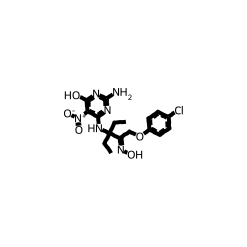 CCC(CC)(Nc1nc(N)nc(O)c1[N+](=O)[O-])C(COc1ccc(Cl)cc1)=NO